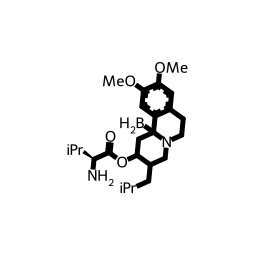 BC12CC(OC(=O)[C@@H](N)C(C)C)C(CC(C)C)CN1CCc1cc(OC)c(OC)cc12